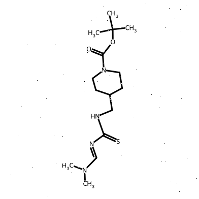 CN(C)/C=N/C(=S)NCC1CCN(C(=O)OC(C)(C)C)CC1